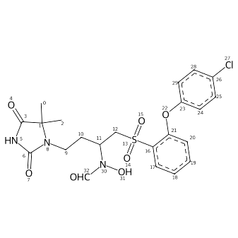 CC1(C)C(=O)NC(=O)N1CCC(CS(=O)(=O)c1ccccc1Oc1ccc(Cl)cc1)N(O)C=O